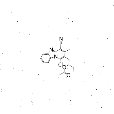 CCC(Cc1c(C)c(C#N)c2nc3ccccc3n2c1Cl)OC(C)=O